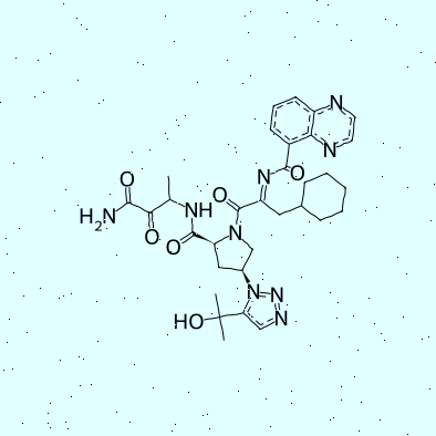 CC(NC(=O)[C@@H]1C[C@H](n2nncc2C(C)(C)O)CN1C(=O)/C(CC1CCCCC1)=N/C(=O)c1cccc2nccnc12)C(=O)C(N)=O